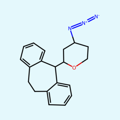 [N-]=[N+]=NC1CCOC(C2c3ccccc3CCc3ccccc32)C1